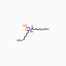 CCCCCCCCCCCCCCCC(=O)[N+](CC)(CCO)C(=O)CCCCCCCCCCCCCCC